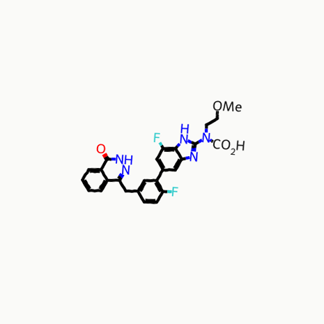 COCCN(C(=O)O)c1nc2cc(-c3cc(Cc4n[nH]c(=O)c5ccccc45)ccc3F)cc(F)c2[nH]1